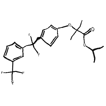 CC(C)OC(=O)C(C)(C)Oc1ccc(C(F)(F)c2cccc(C(F)(F)F)c2)cc1